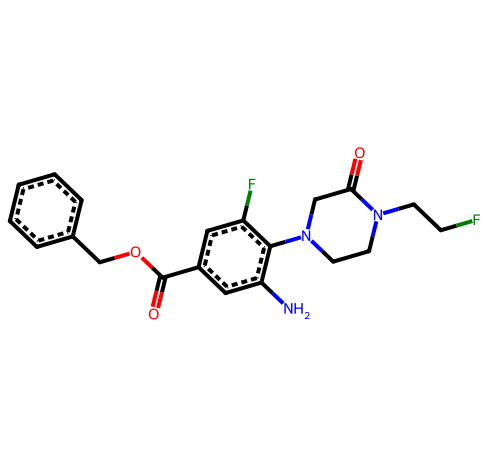 Nc1cc(C(=O)OCc2ccccc2)cc(F)c1N1CCN(CCF)C(=O)C1